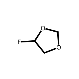 FC1COCO1